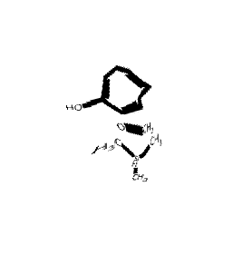 C=O.C[SiH](C)C.Oc1ccccc1